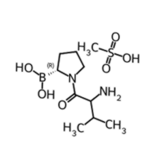 CC(C)C(N)C(=O)N1CCC[C@H]1B(O)O.CS(=O)(=O)O